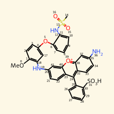 COc1ccc(Oc2ccccc2NS(C)(=O)=O)cc1Nc1ccc2c(-c3ccccc3S(=O)(=O)O)c3ccc(N)cc3[o+]c2c1